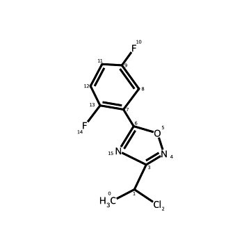 CC(Cl)c1noc(-c2cc(F)ccc2F)n1